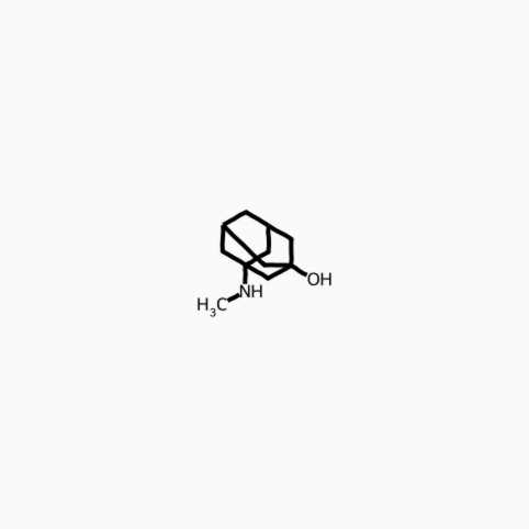 CNC12CC3CC(CC(O)(C3)C1)C2